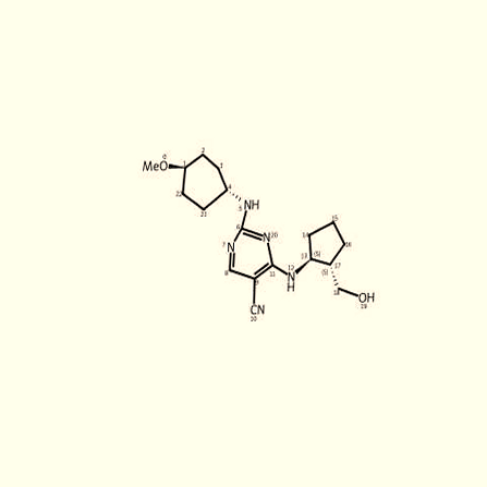 CO[C@H]1CC[C@H](Nc2ncc(C#N)c(N[C@H]3CCC[C@@H]3CO)n2)CC1